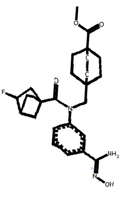 COC(=O)C12CCC(CN(C(=O)C34CC(F)C(C3)C4)c3cccc(/C(N)=N/O)c3)(CC1)CC2